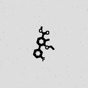 CCOc1c(-c2cccc(F)c2)ccc(C(=O)OC)c1C